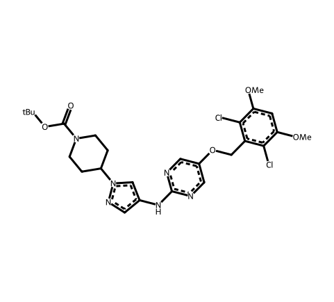 COc1cc(OC)c(Cl)c(COc2cnc(Nc3cnn(C4CCN(C(=O)OC(C)(C)C)CC4)c3)nc2)c1Cl